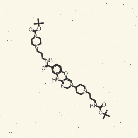 CC(C)(C)OC(=O)NCCCN1CCC(N2C=C3Oc4ccc(C(=O)NCCCN5CCN(C(=O)OC(C)(C)C)CC5)cc4NC3=NC2)CC1